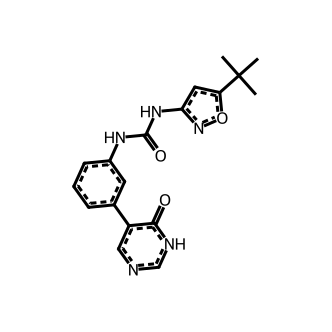 CC(C)(C)c1cc(NC(=O)Nc2cccc(-c3cnc[nH]c3=O)c2)no1